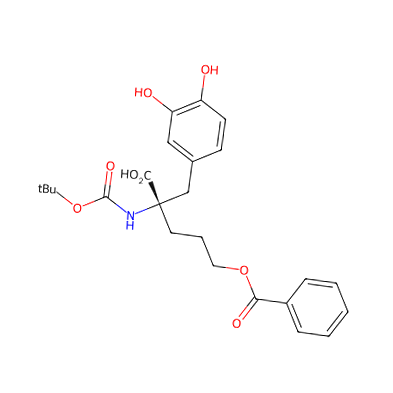 CC(C)(C)OC(=O)N[C@@](CCCOC(=O)c1ccccc1)(Cc1ccc(O)c(O)c1)C(=O)O